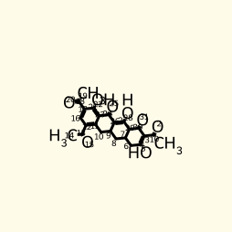 CC(=O)C1=C(O)CC2CC3Cc4c(C(C)=O)cc(C(C)=O)c(O)c4C(=O)C3=C(O)C2C1=O